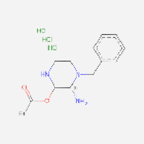 CCC(=O)OC1NCCN(Cc2ccccc2)[C@@H]1N.Cl.Cl.Cl